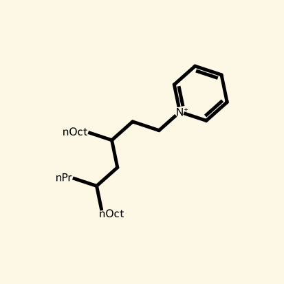 CCCCCCCCC(CCC)CC(CCCCCCCC)CC[n+]1ccccc1